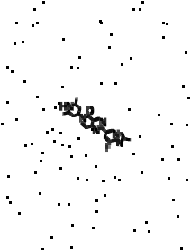 Cc1cn2cc(-c3ncc4c(=O)n(C5CC(C)NC(C)C5)ccc4n3)cc(F)c2n1